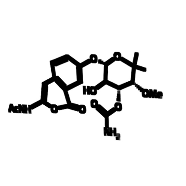 CO[C@@H]1[C@H](OC(N)=O)C(O)[C@H](Oc2ccc3cc(NC(C)=O)oc(=O)c3c2)OC1(C)C